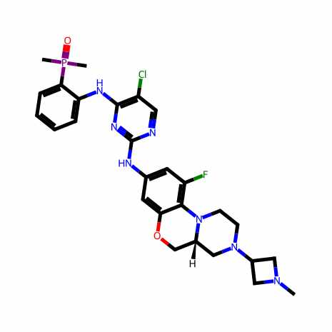 CN1CC(N2CCN3c4c(F)cc(Nc5ncc(Cl)c(Nc6ccccc6P(C)(C)=O)n5)cc4OC[C@H]3C2)C1